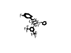 Fc1cccc(-c2nc3nc(OCc4ccccc4)c(Nc4cc(C(F)(F)F)cc(C(F)(F)F)c4)nc3o2)c1